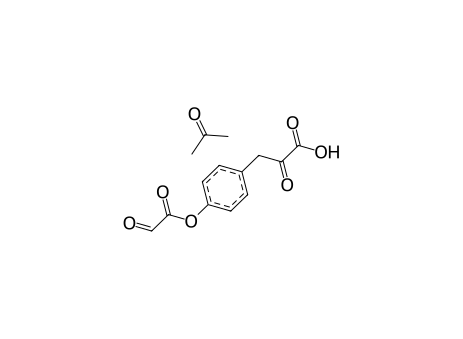 CC(C)=O.O=CC(=O)Oc1ccc(CC(=O)C(=O)O)cc1